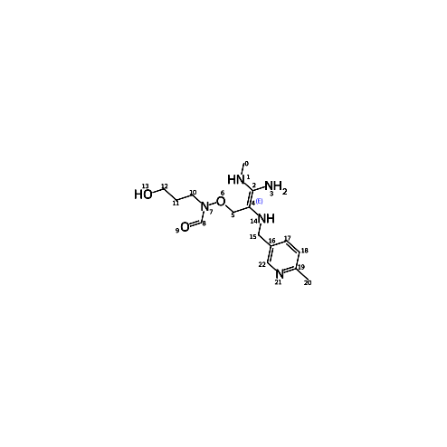 CN/C(N)=C(\CON(C=O)CCCO)NCc1ccc(C)nc1